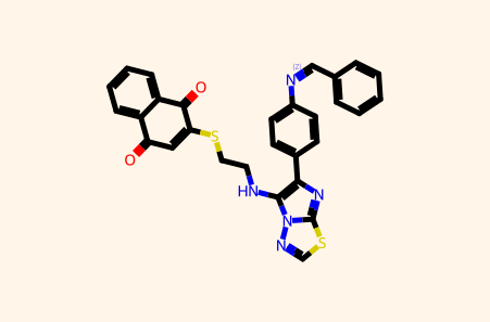 O=C1C=C(SCCNc2c(-c3ccc(/N=C\c4ccccc4)cc3)nc3scnn23)C(=O)c2ccccc21